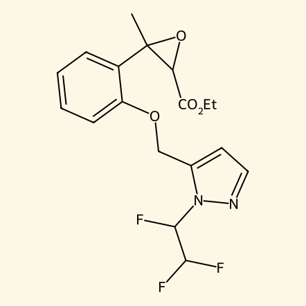 CCOC(=O)C1OC1(C)c1ccccc1OCc1ccnn1C(F)C(F)F